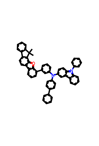 CC1(C)c2ccccc2-c2ccc3c(oc4c(-c5cccc(N(c6ccc(-c7ccccc7)cc6)c6ccc7c(c6)c6ccccc6n7-c6ccccc6)c5)cccc43)c21